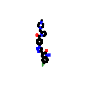 CN1CCN(CC2CCCN2C(=O)c2ccc(-n3cc(-c4cc5cc(F)ccc5[nH]c4=O)nn3)cc2)CC1